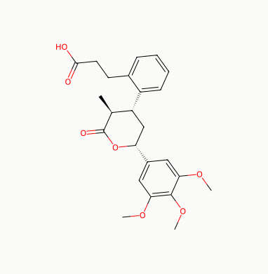 COc1cc([C@H]2C[C@@H](c3ccccc3CCC(=O)O)[C@H](C)C(=O)O2)cc(OC)c1OC